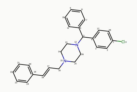 Clc1ccc(C(c2ccccc2)N2CCN(CC=Cc3ccccc3)CC2)cc1